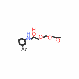 CC(=O)c1cccc(NCC(O)COCCOCC2CO2)c1